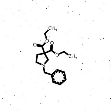 CCOC(=O)C1(C(=O)OCC)CCN(Cc2ccccc2)C1